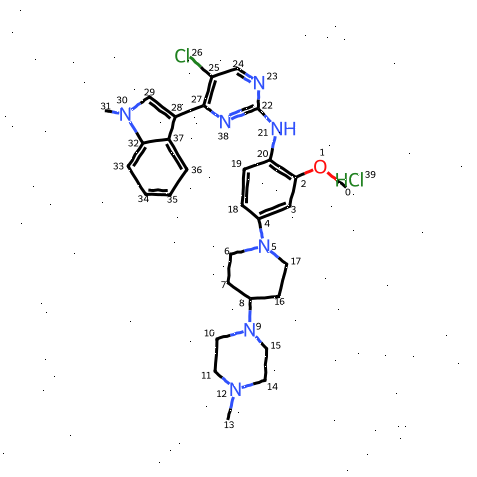 COc1cc(N2CCC(N3CCN(C)CC3)CC2)ccc1Nc1ncc(Cl)c(-c2cn(C)c3ccccc23)n1.Cl